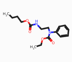 CCCCOC(=O)NCCN(C(=O)OCC)c1ccccc1